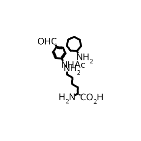 CC(=O)Nc1ccc(C=O)cc1.NC1CCCCCC1.NCCCC[C@H](N)C(=O)O